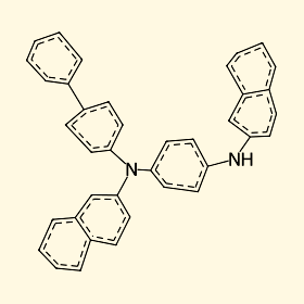 c1ccc(-c2ccc(N(c3ccc(Nc4ccc5ccccc5c4)cc3)c3ccc4ccccc4c3)cc2)cc1